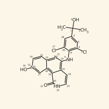 CC(C)(O)c1cc(Cl)c(Nc2nc3cc[n+](O)cc3c3c(=O)[nH]ccc23)c(Cl)c1